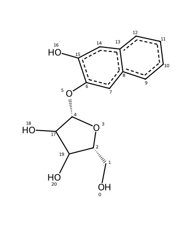 OC[C@H]1O[C@@H](Oc2cc3ccccc3cc2O)C(O)C1O